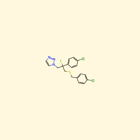 FC(CSCc1ccc(Cl)cc1)(Cn1ccnn1)c1ccc(Cl)cc1